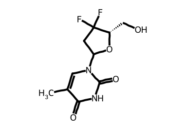 Cc1cn(C2CC(F)(F)[C@H](CO)O2)c(=O)[nH]c1=O